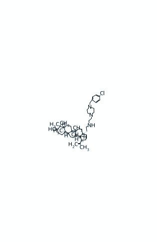 C=C(C)[C@@H]1CC[C@]2(CCNCCN3CCN(Cc4ccc(Cl)cc4)CC3)CC[C@]3(C)[C@H](CC[C@@H]4[C@@]5(C)CC[C@H](O)C(C)(C)[C@@H]5CC[C@]43C)[C@@H]12